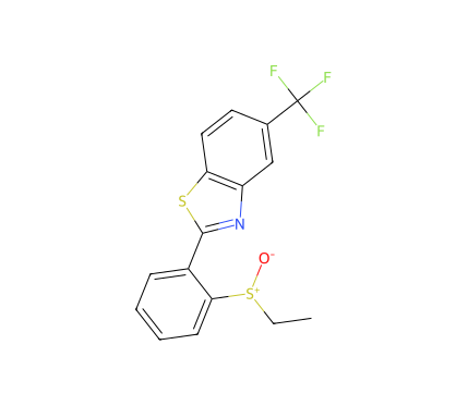 CC[S+]([O-])c1ccccc1-c1nc2cc(C(F)(F)F)ccc2s1